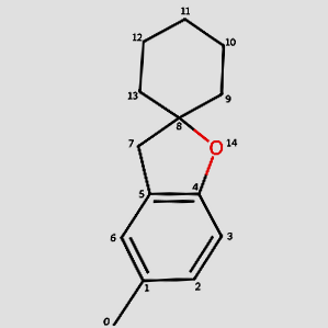 Cc1ccc2c(c1)CC1(CCCCC1)O2